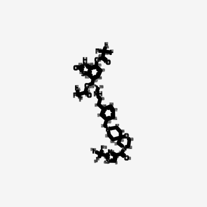 O=C(c1csc(C(F)(F)F)n1)N1CCOC2(CCN(Cc3cccc(CCNC[C@H](OC(=O)C(F)(F)F)c4ccc(OC(=O)C(F)(F)F)c5[nH]c(=O)sc45)c3)CC2)C1